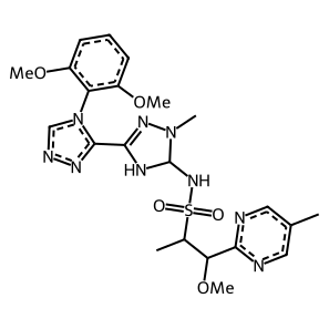 COc1cccc(OC)c1-n1cnnc1C1=NN(C)C(NS(=O)(=O)C(C)C(OC)c2ncc(C)cn2)N1